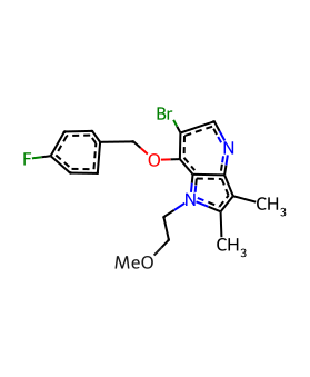 COCCn1c(C)c(C)c2ncc(Br)c(OCc3ccc(F)cc3)c21